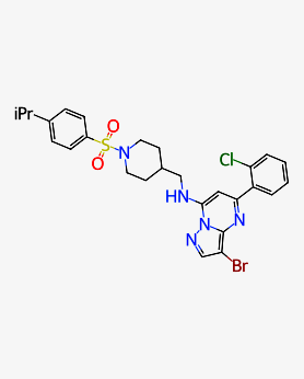 CC(C)c1ccc(S(=O)(=O)N2CCC(CNc3cc(-c4ccccc4Cl)nc4c(Br)cnn34)CC2)cc1